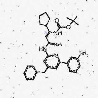 CC(C)(C)OC(=O)N/C(=C\C(=N)Nc1cc(Cc2ccccc2)cc(-c2cccc(N)c2)n1)C1CCCC1